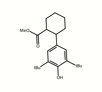 COC(=O)C1CCCCC1c1cc(C(C)(C)C)c(O)c(C(C)(C)C)c1